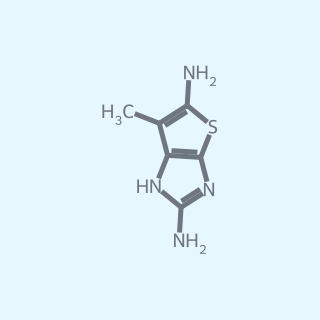 Cc1c(N)sc2nc(N)[nH]c12